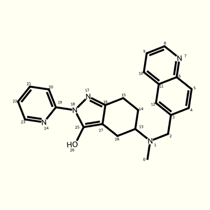 CN(Cc1ccc2ncccc2c1)C1CCc2nn(-c3ccccn3)c(O)c2C1